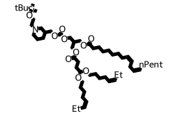 CC/C=C\CCCCOC(CCC(=O)OCC(COC(=O)CCCCCCC/C=C\C/C=C\CCCCC)COC(=O)OCC1CCCN(CCO[Si](C)(C)C(C)(C)C)C1)OCCCC/C=C\CC